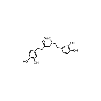 CO[C@@H](CCc1ccc(O)c(O)c1)CC(=O)CCc1ccc(O)c(O)c1